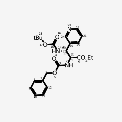 CCOC(=O)[C@@H](NC(=O)OCc1ccccc1)[C@H](NC(=O)OC(C)(C)C)c1cccnc1